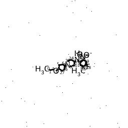 CCCOC1CCC(N2CCC(Nc3cc(C)c(F)cc3[N+](=O)[O-])CC2)CC1